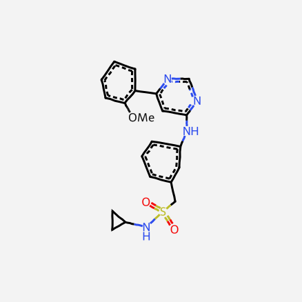 COc1ccccc1-c1cc(Nc2cccc(CS(=O)(=O)NC3CC3)c2)ncn1